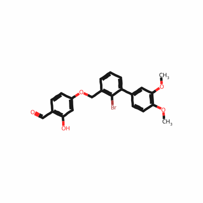 COc1ccc(-c2cccc(COc3ccc(C=O)c(O)c3)c2Br)cc1OC